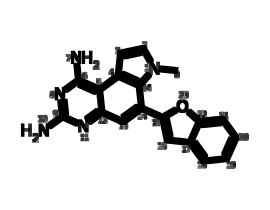 Cn1ccc2c3c(N)nc(N)nc3cc(-c3cc4ccccc4o3)c21